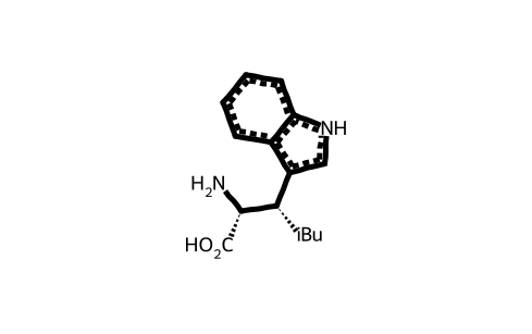 CCC(C)[C@@H](c1c[nH]c2ccccc12)[C@@H](N)C(=O)O